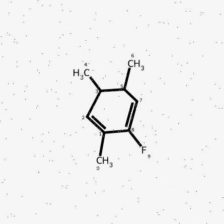 CC1=CC(C)C(C)C=C1F